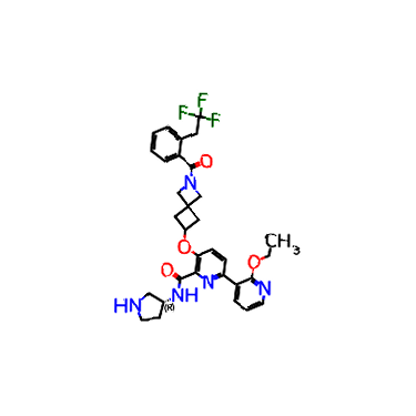 CCOc1ncccc1-c1ccc(OC2CC3(C2)CN(C(=O)c2ccccc2CC(F)(F)F)C3)c(C(=O)N[C@@H]2CCNC2)n1